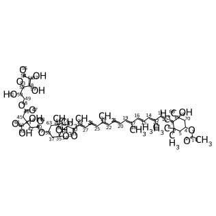 CC(=O)OC1CC(C)(C)C(=C=C/C(C)=C/C=C/C(C)=C/C=C/C=C(C)/C=C/C=C(\C)C(=O)CC23OC2(C)CC(OC(=O)CC(O)(CC(=O)OC[C@H](O)[C@H]2OC(=O)C(O)=C2O)C(=O)O)CC3(C)C)[C@](C)(O)C1